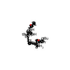 Cc1ncsc1-c1ccc(C(C)NC(=O)[C@@H]2C[C@@H](O)CN2C(=O)C(NC(=O)CCCCc2cccc(OCC(CCC(N)=O)NC(=O)[C@@H]3CCCN3C(=O)C(CC(C)C)NC(=O)OC(C)(C)C)c2F)C(C)(C)C)cc1